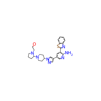 Nc1ncc(-c2cnn(C3CCN(C4CCCN4CC=O)CC3)c2)cc1-c1nc2ccccc2s1